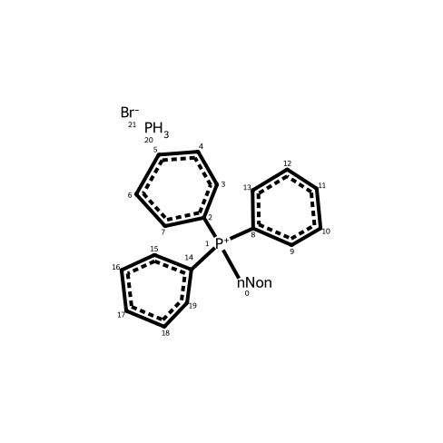 CCCCCCCCC[P+](c1ccccc1)(c1ccccc1)c1ccccc1.P.[Br-]